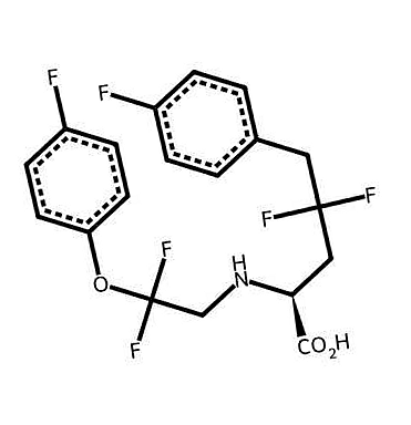 O=C(O)[C@H](CC(F)(F)Cc1ccc(F)cc1)NCC(F)(F)Oc1ccc(F)cc1